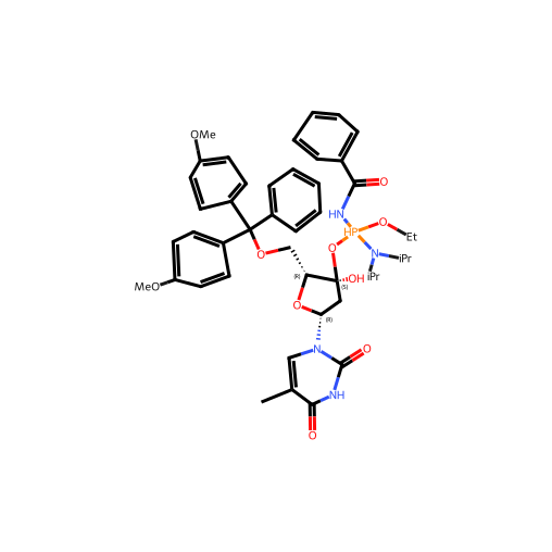 CCO[PH](NC(=O)c1ccccc1)(O[C@@]1(O)C[C@H](n2cc(C)c(=O)[nH]c2=O)O[C@@H]1COC(c1ccccc1)(c1ccc(OC)cc1)c1ccc(OC)cc1)N(C(C)C)C(C)C